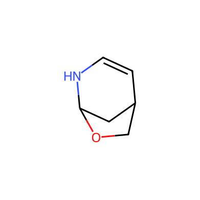 C1=CC2COC(C2)N1